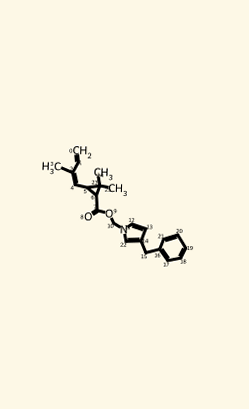 C=CC(C)=CC1C(C(=O)OCn2ccc(Cc3ccccc3)c2)C1(C)C